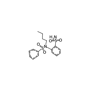 CCCCN(c1ccccc1S(N)(=O)=O)S(=O)(=O)c1ccccc1